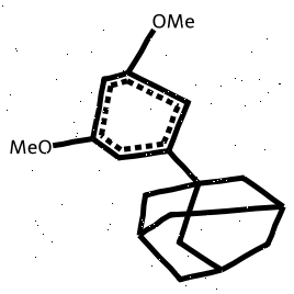 COc1cc(OC)cc(C23CC4CC(CC(C4)C2)C3)c1